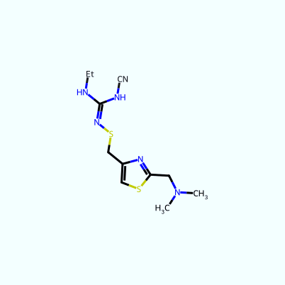 CCNC(=NSCc1csc(CN(C)C)n1)NC#N